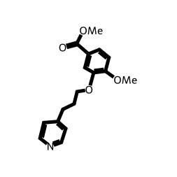 COC(=O)c1ccc(OC)c(OCCCc2ccncc2)c1